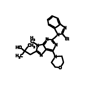 [CH2]C(C)(O)Cc1nc2c(N3CCOCC3)nc(-n3c(CC)nc4ccccc43)nc2n1C